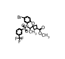 COC(=O)C1CC2(C1)Oc1ccc(Br)cc1N(S(=O)(=O)c1cccc(C(F)(F)F)c1)C2C